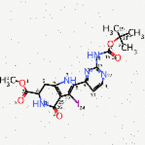 COC(=O)C1Cc2[nH]c(-c3ccnc(NC(=O)OC(C)(C)C)n3)c(I)c2C(=O)N1